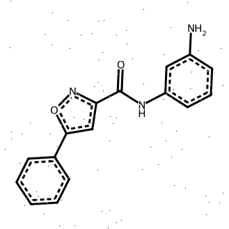 Nc1cccc(NC(=O)c2cc(-c3ccccc3)on2)c1